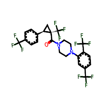 O=C(N1CCN(c2cc(C(F)(F)F)ccc2C(F)(F)F)CC1)[C@]1(C(F)(F)F)C[C@@H]1c1ccc(C(F)(F)F)cc1